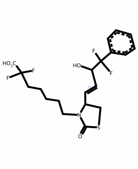 O=C1SCC(/C=C/C(O)C(F)(F)c2ccccc2)N1CCCCCC(F)(F)C(=O)O